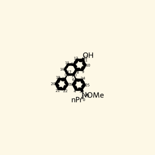 CCCN(OC)c1ccc([C@@H]2c3ccc(O)cc3CC[C@@H]2c2ccccc2)cc1